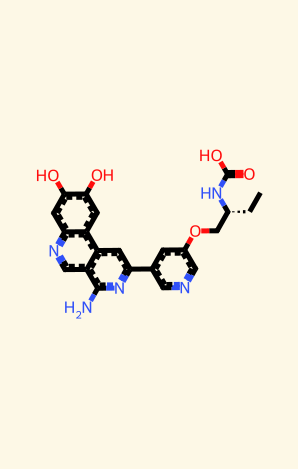 CC[C@H](COc1cncc(-c2cc3c(cnc4cc(O)c(O)cc43)c(N)n2)c1)NC(=O)O